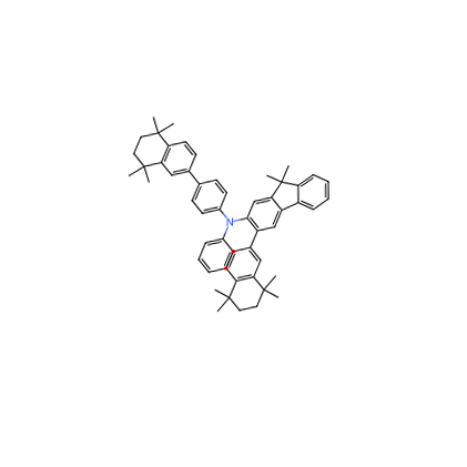 CC1(C)CCC(C)(C)c2cc(-c3ccc(N(c4ccccc4)c4cc5c(cc4-c4ccc6c(c4)C(C)(C)CCC6(C)C)-c4ccccc4C5(C)C)cc3)ccc21